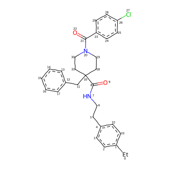 CCc1ccc(CCNC(=O)C2(Cc3ccccc3)CCN(C(=O)c3ccc(Cl)cc3)CC2)cc1